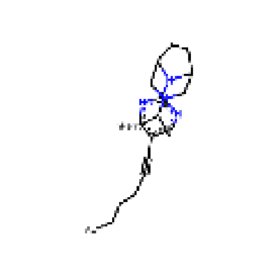 CCCCCC(C)N1CC2CCC(C1)N2c1ncc(C#CCCCC(C)=O)cn1